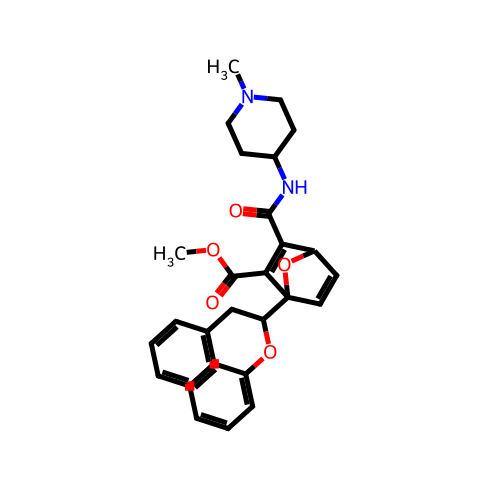 COC(=O)C1=C(C(=O)NC2CCN(C)CC2)C2C=CC1(C(Cc1ccccc1)Oc1ccccc1)O2